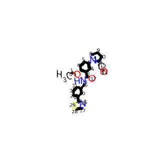 CCOc1ccc(N2CCCC2=C=O)cc1C(=O)NCc1cccc(-c2nccs2)c1